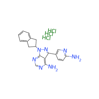 Cl.Cl.Cl.Nc1ccc(-c2nn(C3Cc4ccccc4C3)c3ncnc(N)c23)cn1